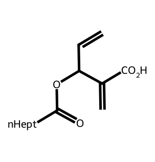 C=CC(OC(=O)CCCCCCC)C(=C)C(=O)O